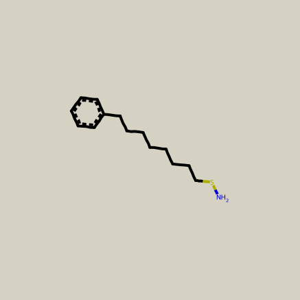 NSCCCCCCCCc1ccccc1